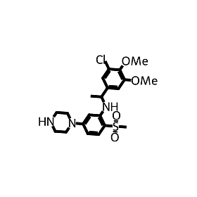 COc1cc(C(C)Nc2cc(N3CCNCC3)ccc2S(C)(=O)=O)cc(Cl)c1OC